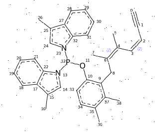 C#C/C=C\C(C)=C(\C)Cc1c(OP(n2cc(C)c3ccccc32)n2cc(C)c3ccccc32)ccc(C)c1C